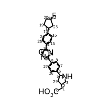 O=C(O)CC1CNC(c2ccc(-c3noc(-c4ccc(C5CCC(F)C5)cc4)n3)cc2)C1